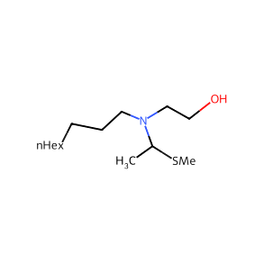 CCCCCCCCCN(CCO)C(C)SC